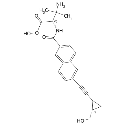 CC(C)(N)[C@H](NC(=O)c1ccc2cc(C#CC3C[C@@H]3CO)ccc2c1)C(=O)OO